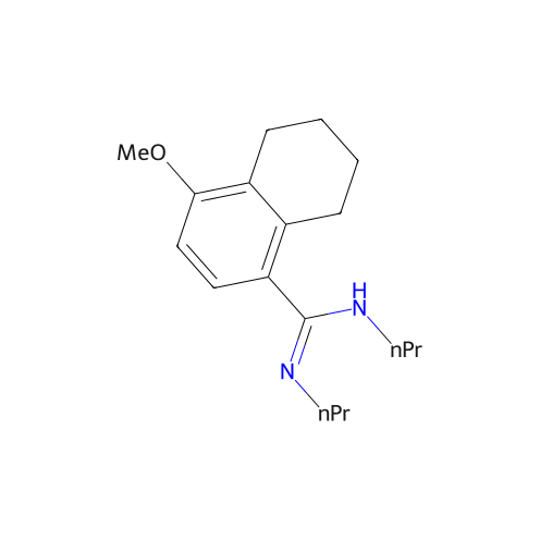 CCCN=C(NCCC)c1ccc(OC)c2c1CCCC2